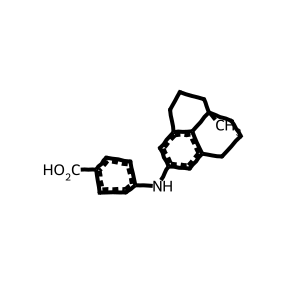 CC12CCCc3cc(Nc4ccc(C(=O)O)cc4)cc(c31)CCC2